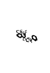 CC(c1ccccc1)N1CCC(Oc2cc(F)nc3c(C(F)(F)F)cccc23)CC1